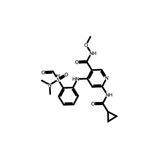 CONC(=O)c1cnc(NC(=O)C2CC2)cc1Nc1ccccc1[SH](=O)(C=O)N(C)C